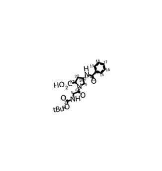 CC(C)(C)OC(=O)NCC(=O)N1C[C@@H](NC(=O)c2ccccc2)CC1C(=O)O